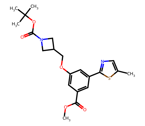 COC(=O)c1cc(OCC2CN(C(=O)OC(C)(C)C)C2)cc(-c2ncc(C)s2)c1